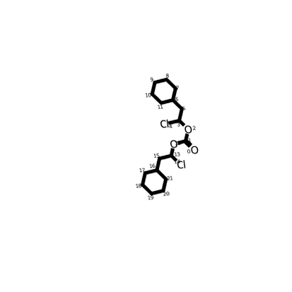 O=C(OC(Cl)CC1CCCCC1)OC(Cl)CC1CCCCC1